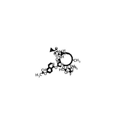 CC(C)Oc1ccc2c(O[C@@H]3C[C@H]4C(=O)N[C@]5(C(=O)NS(=O)(=O)C6CC6)C[C@H]5C=CCC[C@H](C)C[C@@H](C)[C@H](N(C(=O)O)[C@H](C)C(F)(F)F)C(=O)N4C3)nccc2c1